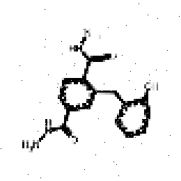 NNC(=O)c1ccc(C(=O)NN)c(Cc2ccccc2O)c1